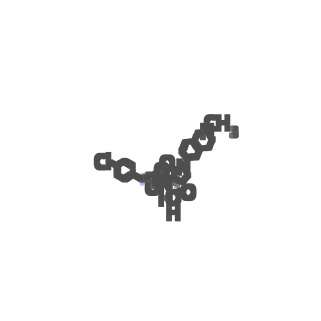 CN1CCc2cc(N3CC[C@H](NS(=O)(=O)/C=C/c4ccc(Cl)cc4)C3=O)ccc2C1.O=CO